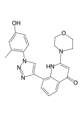 Cc1cc(O)ccc1-n1cc(-c2cccc3c(=O)cc(N4CCOCC4)[nH]c23)nn1